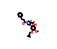 COc1ccc([C@@H]2CN(C(=O)[CH]Cc3ccccc3)C[C@@]2(C)[C@@H](C)O)cc1OCC1CC1